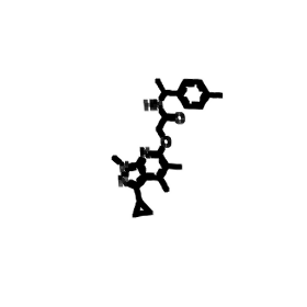 Cc1ccc([C@H](C)NC(=O)COc2nc3c(c(C4CC4)nn3C)c(C)c2C)cc1